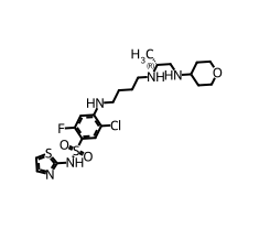 C[C@H](CNC1CCOCC1)NCCCCNc1cc(F)c(S(=O)(=O)Nc2nccs2)cc1Cl